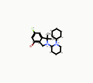 CC1(C)c2cc(F)cc(Br)c2CN1C1CCCCN1C1CCCCC1